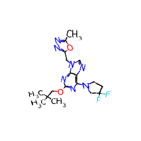 Cc1nnc(Cn2cnc3c(N4CCC(F)(F)C4)nc(OCC(C)(C)C)nc32)o1